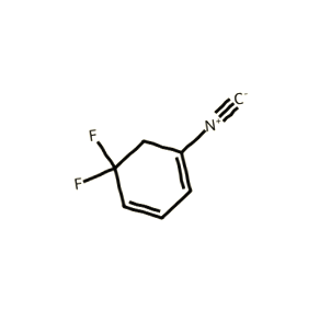 [C-]#[N+]C1=CC=CC(F)(F)C1